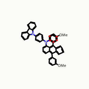 COc1cccc(-c2c3ccccc3c(-c3cccc(OC)c3)c3c(N(c4ccccc4)c4ccc(-n5c6ccccc6c6ccccc65)cc4)cccc23)c1